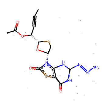 CC#CC(OC(C)=O)[C@H]1O[C@@H](n2c3c(sc2=O)C(=O)NC(N=NN)N3)CS1